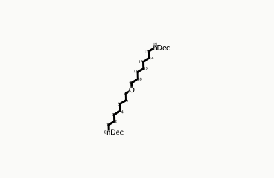 CCCCCCCCCCCCCCCCCOCCCCCCCCCCCCCCCCC